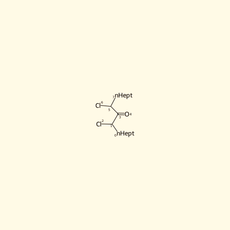 CCCCCCCC(Cl)C(=O)C(Cl)CCCCCCC